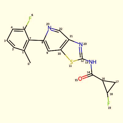 Cc1cccc(F)c1-c1cc2sc(NC(=O)C3CC3F)nc2cn1